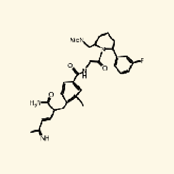 CNCC1CCCC(c2cccc(F)c2)N1C(=O)CNC(=O)c1ccc(CC(C=CC(C)=N)C(N)=O)c(C)c1